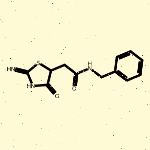 N=C1NC(=O)C(CC(=O)NCc2ccccc2)S1